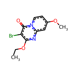 CCOc1nc2cc(OC)ccn2c(=O)c1Br